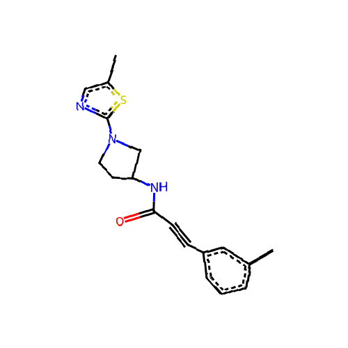 Cc1cccc(C#CC(=O)NC2CCN(c3ncc(C)s3)C2)c1